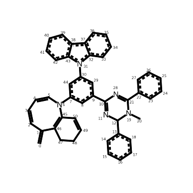 C=C1/C=C\C=C/N(c2cc(C3=NC(c4ccccc4)N(C)C(c4ccccc4)=N3)cc(-n3c4ccccc4c4ccccc43)c2)C2=C1CCC=C2